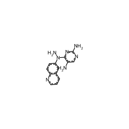 Nc1ncc(N)c(N(N)c2ccc3ncccc3c2)n1